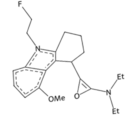 CCN(CC)C1=C(C2CCCc3c2c2c(OC)cccc2n3CCF)O1